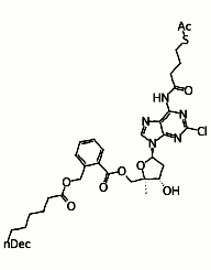 CCCCCCCCCCCCCCCC(=O)OCc1ccccc1C(=O)OC[C@@]1(C)O[C@@H](n2cnc3c(NC(=O)CCCSC(C)=O)nc(Cl)nc32)C[C@@H]1O